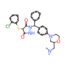 CN(C)CC1CN(c2ccc(C(c3ccccc3)N3NC(=O)C(Sc4ccccc4Cl)C3=O)cc2)CCO1